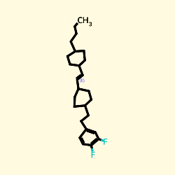 CCCCC1CCC(/C=C/C2CCC(CCc3ccc(F)c(F)c3)CC2)CC1